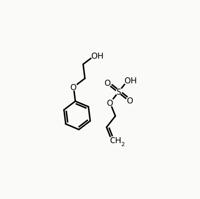 C=CCOS(=O)(=O)O.OCCOc1ccccc1